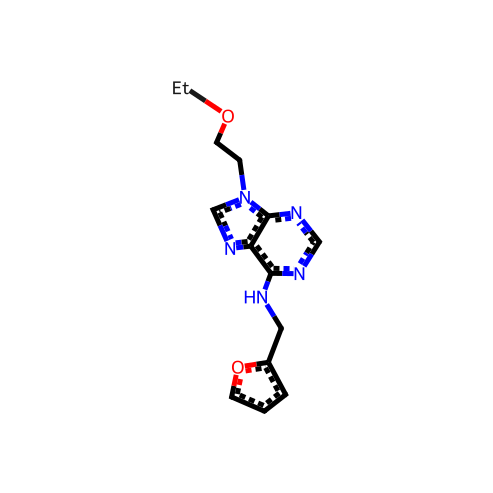 CCOCCn1cnc2c(NCc3ccco3)ncnc21